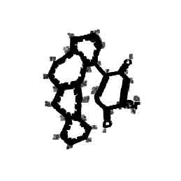 Br.O=C1C=CC(=O)C(c2cccc3ccc4cc5ccccc5cc4c23)=C1